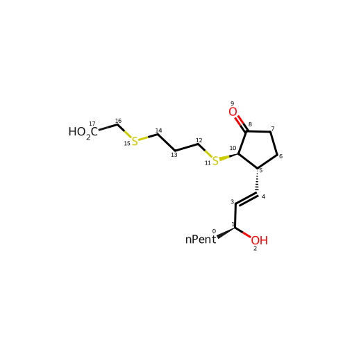 CCCCC[C@H](O)/C=C/[C@H]1CCC(=O)[C@@H]1SCCCSCC(=O)O